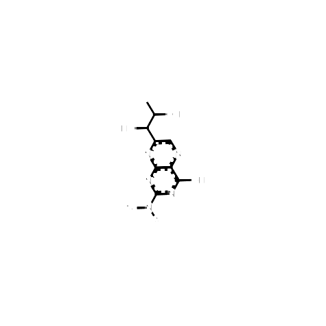 CC(=O)N(C(C)=O)c1nc(O)c2ncc(C(O)C(C)O)nc2n1